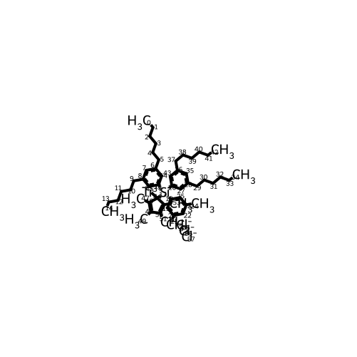 CCCCCCc1cc(CCCCCC)cc([Si](c2cc(C)cc(C)c2)(c2cc(CCCCCC)cc(CCCCCC)c2)[C]2([Ti+3])C(C)=C(C)C(C)=C2C)c1.[Cl-].[Cl-].[Cl-]